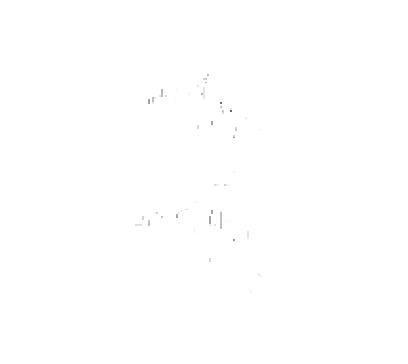 CCCCCCCNC(=O)N(C)c1cccc(-c2ccc([C@H](CC(=O)O)Nc3ccccc3C(=O)c3ccccc3)cc2)n1